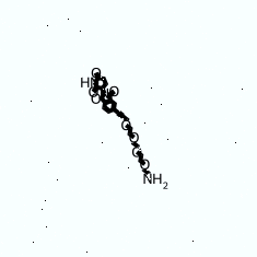 NCCOCCOCCOCCOCC#Cc1ccc2c(c1)C(=O)N(C1CCC(=O)NC1=O)C2=O